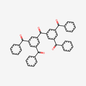 O=C(c1ccccc1)c1cc(C(=O)c2ccccc2)cc(C(=O)c2cc(C(=O)c3ccccc3)cc(C(=O)c3ccccc3)c2)c1